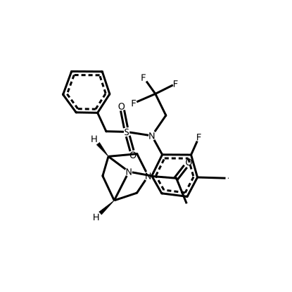 [CH2]c1ccc(N2[C@@H]3C[C@H]2CN(C(C)=O)C3)c(N(CC(F)(F)F)S(=O)(=O)Cc2ccccc2)c1F